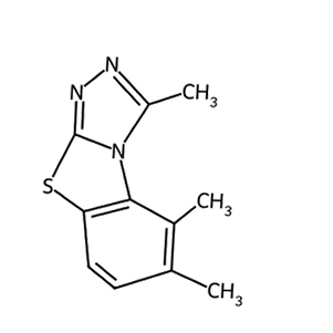 Cc1ccc2sc3nnc(C)n3c2c1C